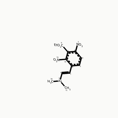 CCOC(=O)c1c([N+](=O)[O-])ccc(C=C[As](C)C)c1[N+](=O)[O-]